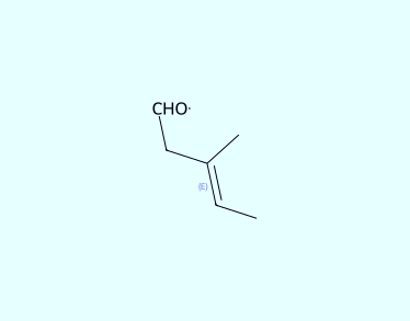 C/C=C(\C)C[C]=O